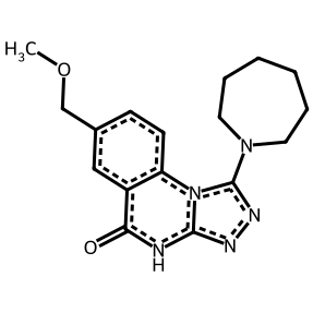 COCc1ccc2c(c1)c(=O)[nH]c1nnc(N3CCCCCC3)n12